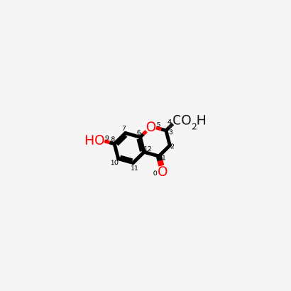 O=C1CC(C(=O)O)Oc2cc(O)ccc21